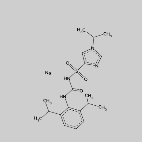 CC(C)c1cccc(C(C)C)c1NC(=O)NS(=O)(=O)c1cn(C(C)C)cn1.[Na]